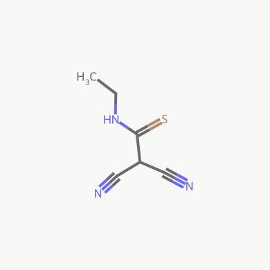 CCNC(=S)C(C#N)C#N